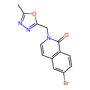 Cc1nnc(Cn2ccc3cc(Br)ccc3c2=O)o1